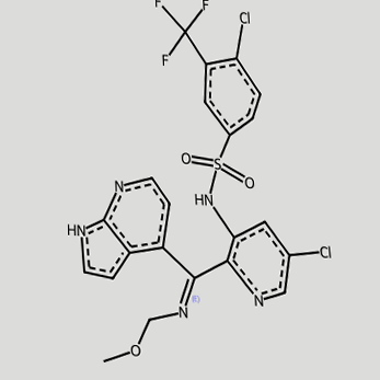 COC/N=C(/c1ncc(Cl)cc1NS(=O)(=O)c1ccc(Cl)c(C(F)(F)F)c1)c1ccnc2[nH]ccc12